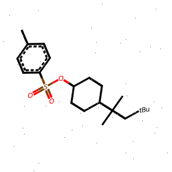 Cc1ccc(S(=O)(=O)OC2CCC(C(C)(C)CC(C)(C)C)CC2)cc1